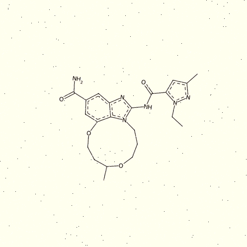 CCn1nc(C)cc1C(=O)Nc1nc2cc(C(N)=O)cc3c2n1CCCOC(C)CCO3